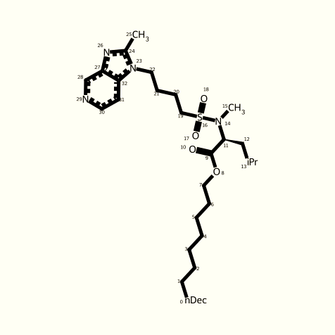 CCCCCCCCCCCCCCCCCOC(=O)[C@H](CC(C)C)N(C)S(=O)(=O)CCCCn1c(C)nc2cnccc21